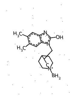 B[N+]12CCC(CC1)C(Cn1c(O)nc3cc(C)c(C)cc31)C2